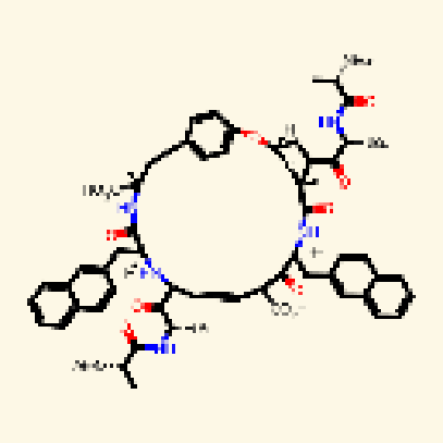 CN[C@@H](C)C(=O)N[C@H](C(=O)C1C/C=C/C(C(=O)O)C(=O)[C@H](Cc2ccc3ccccc3c2)NC(=O)[C@@H]2C[C@@H](CC2C(=O)[C@@H](NC(=O)[C@H](C)NC)C(C)(C)C)Oc2ccc(cc2)C[C@@H](C(=O)O)NC(=O)[C@H](Cc2ccc3ccccc3c2)N1)C(C)(C)C